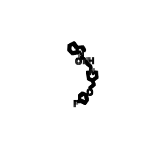 O=C(NCCN1CCC(CCOc2ccc(F)cc2)CC1)n1ccc2ccccc21